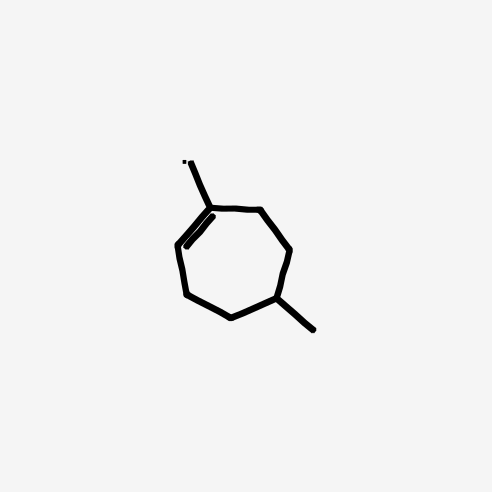 [CH2]C1=CCCC(C)CC1